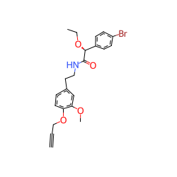 C#CCOc1ccc(CCNC(=O)[C@@H](OCC)c2ccc(Br)cc2)cc1OC